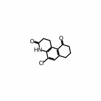 O=C1CCc2c(c(Cl)cc3c2C(=O)CCC3)N1